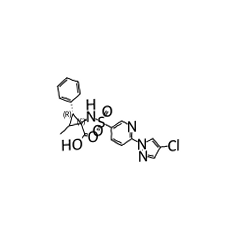 CC1[C@H](c2ccccc2)[C@]1(NS(=O)(=O)c1ccc(-n2cc(Cl)cn2)nc1)C(=O)O